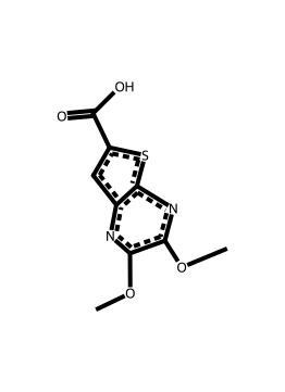 COc1nc2cc(C(=O)O)sc2nc1OC